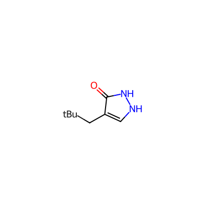 CC(C)(C)Cc1c[nH][nH]c1=O